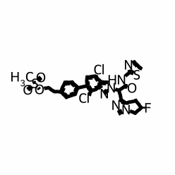 CS(=O)(=O)OCCc1ccc(-c2cc(Cl)c3cn(C(C(=O)Nc4nccs4)c4ncn5c4C[C@@H](F)C5)nc3c2Cl)cc1